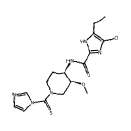 CCc1[nH]c(C(=O)N[C@@H]2CCN(C(=S)n3ccnc3)C[C@@H]2OC)nc1Cl